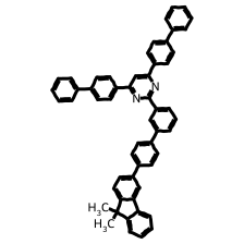 CC1(C)c2ccccc2-c2cc(-c3ccc(-c4cccc(-c5nc(-c6ccc(-c7ccccc7)cc6)cc(-c6ccc(-c7ccccc7)cc6)n5)c4)cc3)ccc21